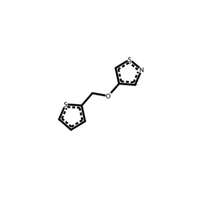 [c]1nscc1OCc1cccs1